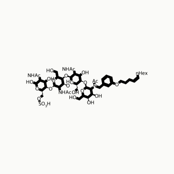 CCCCCC/C=C\CCCOc1cccc(CN(C(C)=O)C2[C@H](O[C@H]3C(O)C(NC(C)=O)[C@H](O[C@@H]4C(CO)O[C@@H](O[C@H]5C(O)C(NC(C)=O)C(O)O[C@H]5COS(=O)(=O)O)C(NC(C)=O)[C@H]4O)O[C@H]3CO)OC(CO)[C@@H](O)[C@@H]2O)c1